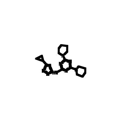 C1CCN(c2nc(Nc3nnc(C4CC4)s3)nc(N3CCCCC3)n2)CC1